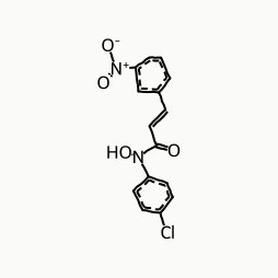 O=C(C=Cc1cccc([N+](=O)[O-])c1)N(O)c1ccc(Cl)cc1